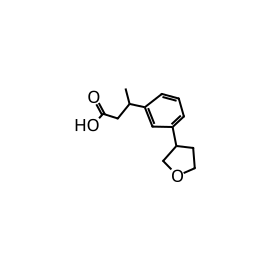 CC(CC(=O)O)c1cccc(C2CCOC2)c1